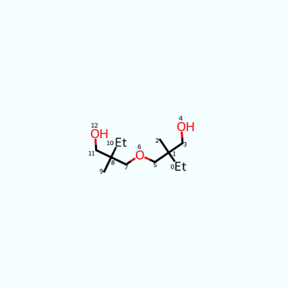 CCC(C)(CO)COCC(C)(CC)CO